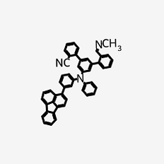 C/N=C\c1ccccc1-c1cc(-c2ccccc2C#N)cc(N(c2ccccc2)c2cccc(-c3ccc4c5c(cccc35)-c3ccccc3-4)c2)c1